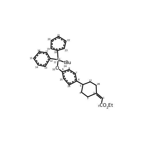 CCOC(=O)C=C1CCC(c2ccc(O[Si](c3ccccc3)(c3ccccc3)C(C)(C)C)cc2)CC1